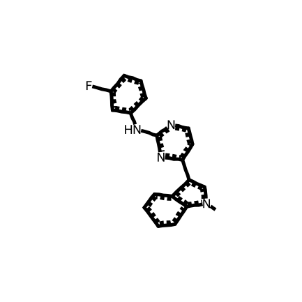 Cn1cc(-c2ccnc(Nc3cccc(F)c3)n2)c2ccccc21